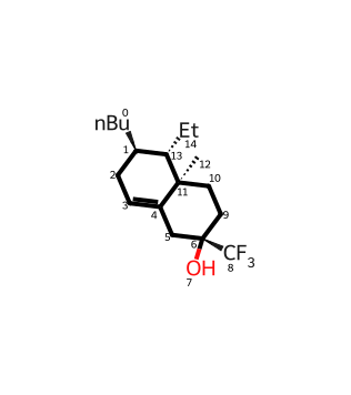 CCCC[C@@H]1CC=C2C[C@](O)(C(F)(F)F)CC[C@]2(C)[C@H]1CC